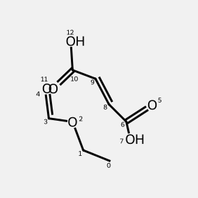 CCOC=O.O=C(O)/C=C/C(=O)O